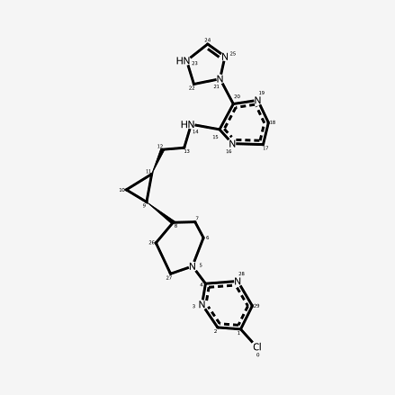 Clc1cnc(N2CCC([C@H]3C[C@H]3CCNc3nccnc3N3CNC=N3)CC2)nc1